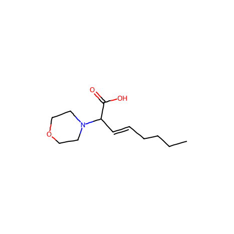 CCCC/C=C/C(C(=O)O)N1CCOCC1